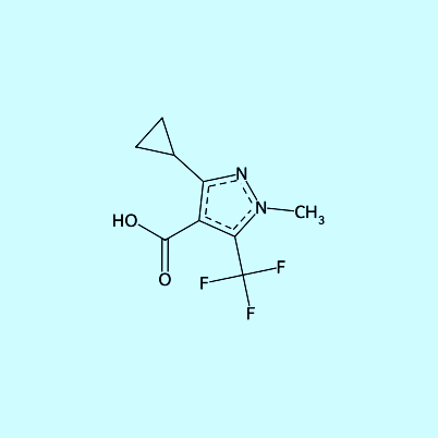 Cn1nc(C2CC2)c(C(=O)O)c1C(F)(F)F